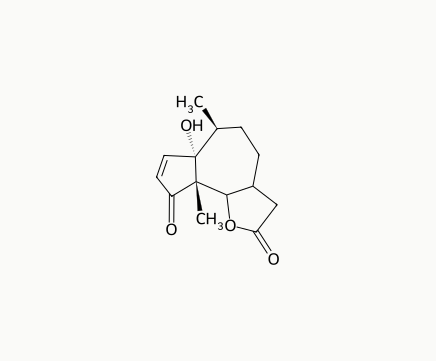 C[C@H]1CCC2CC(=O)OC2[C@]2(C)C(=O)C=C[C@@]12O